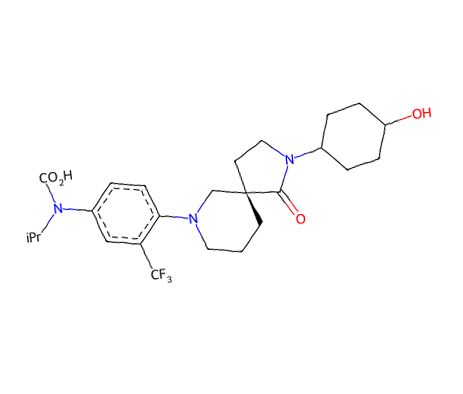 CC(C)N(C(=O)O)c1ccc(N2CCC[C@]3(CCN(C4CCC(O)CC4)C3=O)C2)c(C(F)(F)F)c1